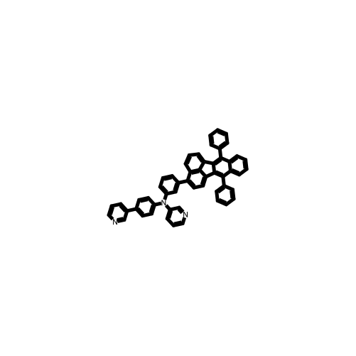 c1ccc(-c2c3c(c(-c4ccccc4)c4ccccc24)-c2ccc(-c4cccc(N(c5ccc(-c6cccnc6)cc5)c5cccnc5)c4)c4cccc-3c24)cc1